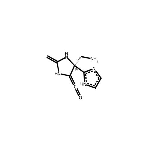 C=C1NC(=C=O)[C@](CN)(c2ncc[nH]2)N1